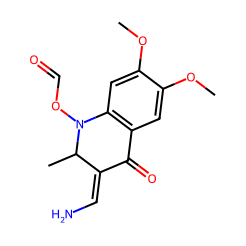 COc1cc2c(cc1OC)N(OC=O)C(C)C(=CN)C2=O